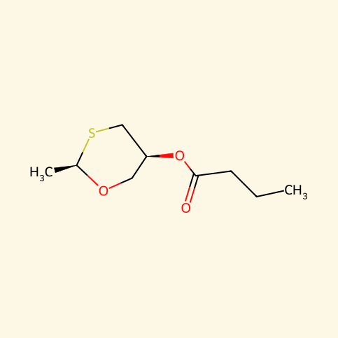 CCCC(=O)O[C@H]1CO[C@@H](C)SC1